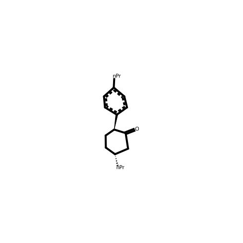 CCCc1ccc([C@@H]2CC[C@@H](CCC)CC2=O)cc1